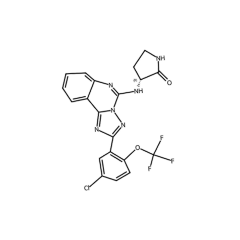 O=C1NCC[C@H]1Nc1nc2ccccc2c2nc(-c3cc(Cl)ccc3OC(F)(F)F)nn12